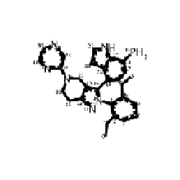 CCc1cccc(CC)c1-n1nc2c(c1-c1ccc(P)c3[nH]ccc13)CN(c1cnccn1)CC2